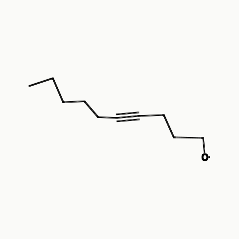 CCCCCC#CCCC[O]